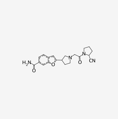 N#CC1CCCN1C(=O)CN1CCC(c2cc3ccc(C(N)=O)cc3o2)C1